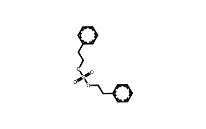 O=S(=O)(OCCc1ccccc1)OCCc1ccccc1